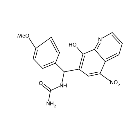 COc1ccc(C(NC(N)=O)c2cc([N+](=O)[O-])c3cccnc3c2O)cc1